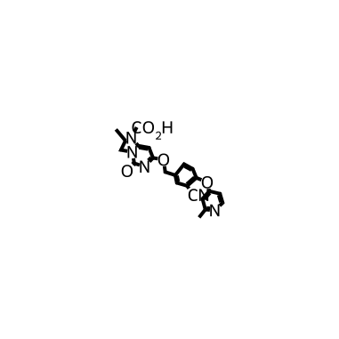 Cc1cc(Oc2ccc(COc3cc4n(c(=O)n3)CC(C)N4C(=O)O)cc2C#N)ccn1